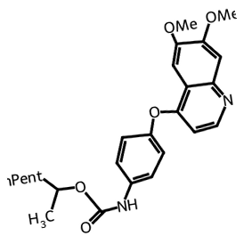 CCCCCC(C)OC(=O)Nc1ccc(Oc2ccnc3cc(OC)c(OC)cc23)cc1